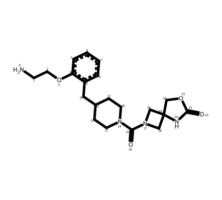 NCCOc1ccccc1CC1CCN(C(=O)N2CC3(COC(=O)N3)C2)CC1